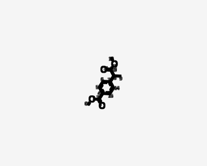 COC(=O)c1ccc(C(C)C(=O)OC)cc1